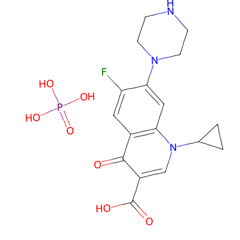 O=C(O)c1cn(C2CC2)c2cc(N3CCNCC3)c(F)cc2c1=O.O=P(O)(O)O